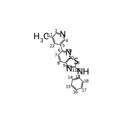 Cc1cncc(-c2ccc3nc(Nc4ccccc4)sc3n2)c1